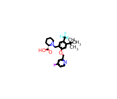 CC(C)(C)c1cc(OCc2cc(I)ccn2)c(CN2CCCC[C@H]2C(=O)O)cc1C(F)(F)F